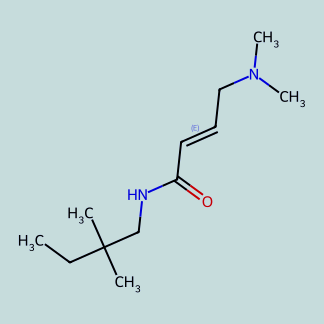 CCC(C)(C)CNC(=O)/C=C/CN(C)C